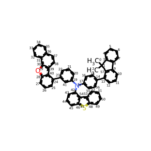 CC1(C)c2ccccc2-c2cccc(-c3ccc(N(c4cccc(-c5cccc6oc7c8ccccc8ccc7c56)c4)c4cccc5sc6ccccc6c45)cc3)c21